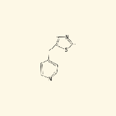 [c]1n[c]c(Cc2ccncc2)s1